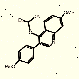 CCC(C#N)Oc1c(-c2ccc(OC)cc2)cnc2cc(OC)ccc12